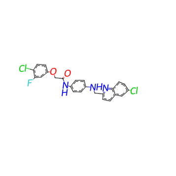 O=C(COc1ccc(Cl)c(F)c1)Nc1ccc(NCc2ccc3cc(Cl)ccc3n2)cc1